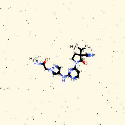 CNC(=O)Cn1cc(Nc2nccc(N3CCC(C#N)(C(C)C)C3=O)n2)cn1